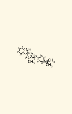 CC(Cc1c[nH]c2ccccc12)C(=O)NCc1ccc(N(C)C)cc1